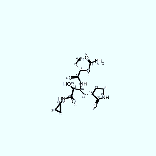 CC(C)C[C@H](OC(N)=O)C(=O)N[C@@H](C[C@@H]1CCNC1=O)C(O)C(=O)NC1CC1